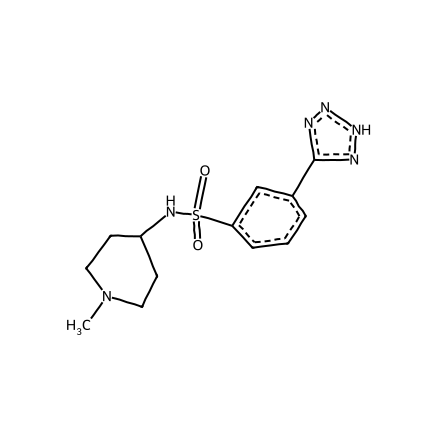 CN1CCC(NS(=O)(=O)c2cccc(-c3nn[nH]n3)c2)CC1